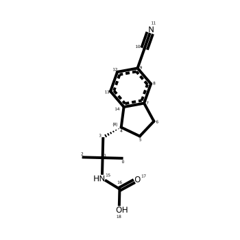 CC(C)(C[C@H]1CCc2cc(C#N)ccc21)NC(=O)O